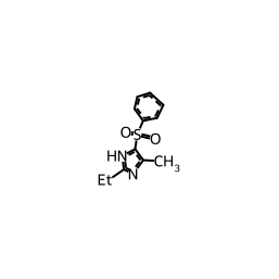 CCc1nc(C)c(S(=O)(=O)c2ccccc2)[nH]1